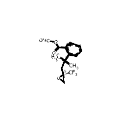 CC(C)(C[C@@]1(C(F)(F)F)CO1)c1ccccc1C(=O)OC=O